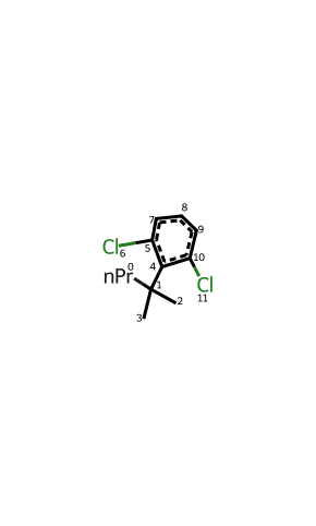 CCCC(C)(C)c1c(Cl)cccc1Cl